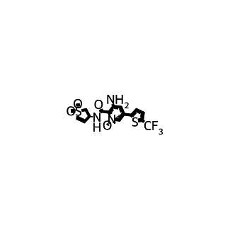 Nc1cc(-c2ccc(C(F)(F)F)s2)c[n+]([O-])c1C(=O)N[C@@H]1C=CS(=O)(=O)C1